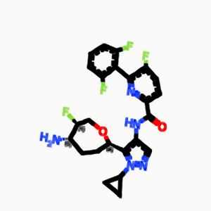 N[C@H]1CC[C@H](c2c(NC(=O)c3ccc(F)c(-c4c(F)cccc4F)n3)cnn2C2CC2)OC[C@@H]1F